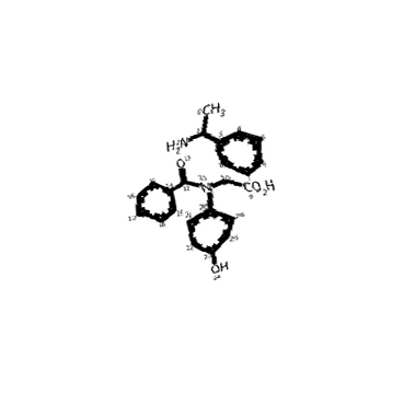 CC(N)c1ccccc1.O=C(O)CN(C(=O)c1ccccc1)c1ccc(O)cc1